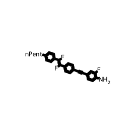 CCCCCc1ccc(C(F)=C(F)c2ccc(C#Cc3ccc(N)c(F)c3)cc2)cc1